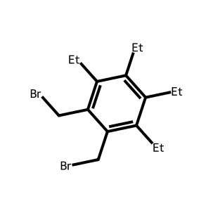 CCc1c(CC)c(CC)c(CBr)c(CBr)c1CC